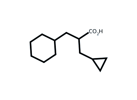 O=C(O)C(CC1CCCCC1)CC1CC1